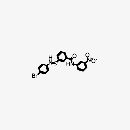 O=C(Nc1cccc([N+](=O)[O-])c1)c1cccc(SNc2ccc(Br)cc2)c1